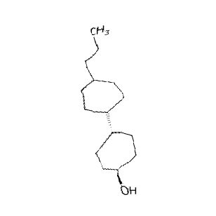 CCCC1CCC([C@H]2CC[C@H](O)CC2)CC1